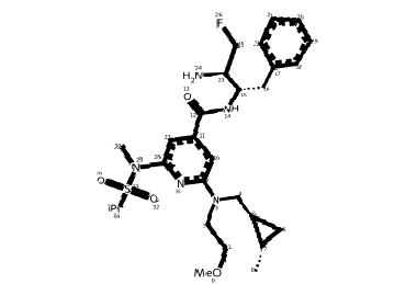 COCCN(C[C@H]1C[C@@H]1C)c1cc(C(=O)N[C@@H](Cc2ccccc2)[C@@H](N)CF)cc(N(C)S(=O)(=O)C(C)C)n1